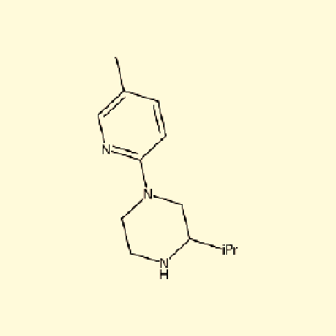 Cc1ccc(N2CCNC(C(C)C)C2)nc1